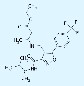 CCOC(=O)CC(C)NCc1c(C(=O)NC(C)C(C)C)noc1-c1ccc(C(F)(F)F)cc1